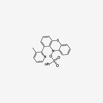 CCCS(=O)(=O)ON1c2ccccc2Sc2cccc(-c3ncccc3C)c21